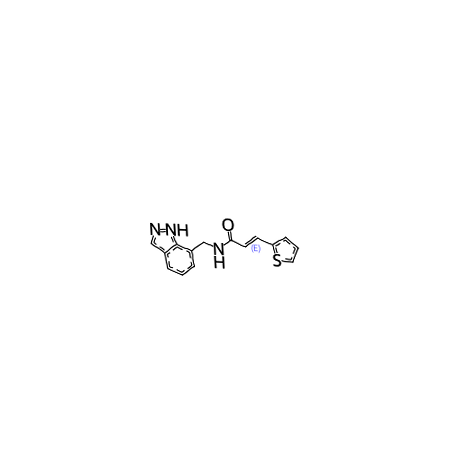 O=C(/C=C/c1cccs1)NCc1cccc2cn[nH]c12